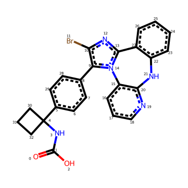 O=C(O)NC1(c2ccc(-c3c(Br)nc4n3-c3cccnc3Nc3ccccc3-4)cc2)CCC1